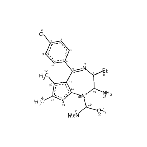 CCC1N=C(c2ccc(Cl)cc2)c2c(sc(C)c2C)N(C(C)NC)C1N